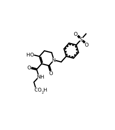 CS(=O)(=O)c1ccc(CN2CCC(O)=C(C(=O)NCC(=O)O)C2=O)cc1